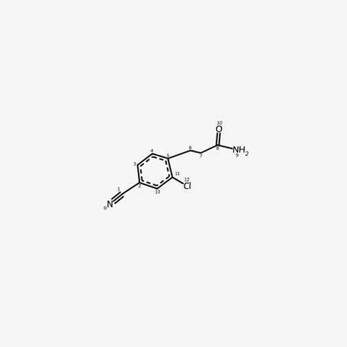 N#Cc1ccc([CH]CC(N)=O)c(Cl)c1